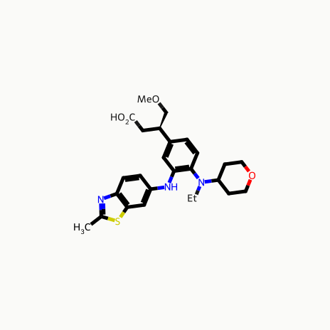 CCN(c1ccc([C@H](COC)CC(=O)O)cc1Nc1ccc2nc(C)sc2c1)C1CCOCC1